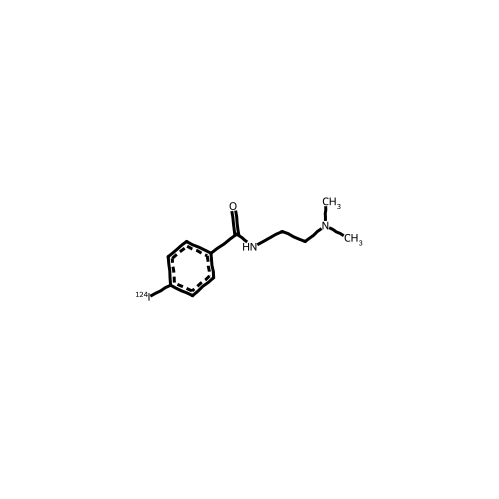 CN(C)CCNC(=O)c1ccc([124I])cc1